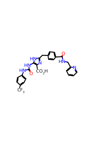 O=C(Nc1ccc(C(F)(F)F)cc1)Nc1[nH]c(Cc2ccc(C(=O)NCc3ccccn3)cc2)nc1C(=O)O